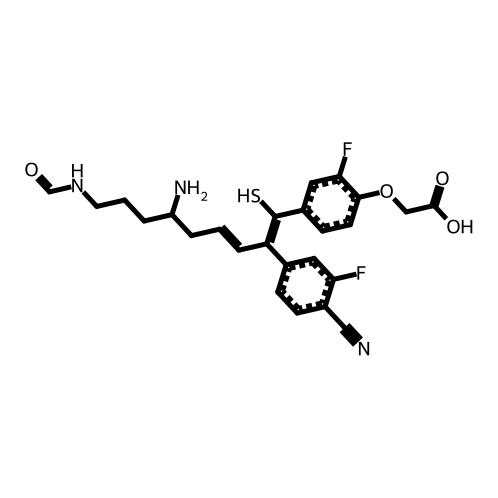 N#Cc1ccc(C(/C=C/CC(N)CCCNC=O)=C(/S)c2ccc(OCC(=O)O)c(F)c2)cc1F